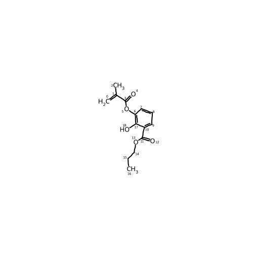 C=C(C)C(=O)Oc1cccc(C(=O)OCCC)c1O